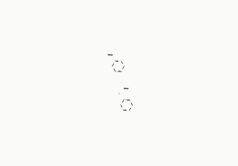 NC(=O)c1ccc(OCC(=O)Nc2ccc(F)cc2)cc1